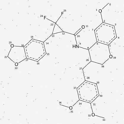 COc1ccc2c(c1)C(NC(=O)C1C(c3ccc4c(c3)OCO4)C1(F)F)C(Cc1ccc(OC)c(OC)c1)CO2